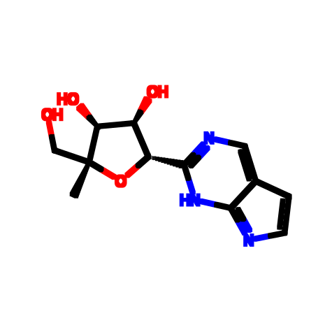 C[C@]1(CO)O[C@@H](c2ncc3ccnc-3[nH]2)[C@H](O)[C@@H]1O